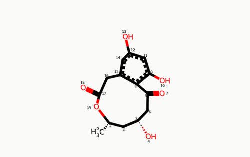 C[C@H]1C[C@@H](O)CC(=O)c2c(O)cc(O)cc2CC(=O)O1